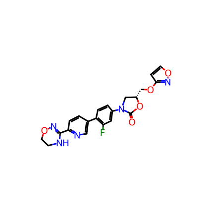 O=C1O[C@@H](COc2ccon2)CN1c1ccc(-c2ccc(C3=NOCCN3)nc2)c(F)c1